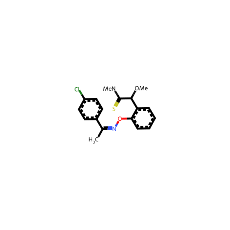 CNC(=S)C(OC)c1ccccc1ON=C(C)c1ccc(Cl)cc1